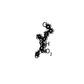 O=C(NS(=O)(=O)c1ccc(NCC2=CCOC=C2)c([N+](=O)[O-])c1)c1ccc(N2CCN(Cc3ccccc3-c3ccc(Cl)cc3)CC2)cc1Oc1cccnc1